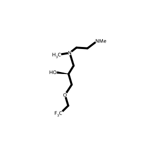 CNCCN(C)C[C@H](O)COCC(F)(F)F